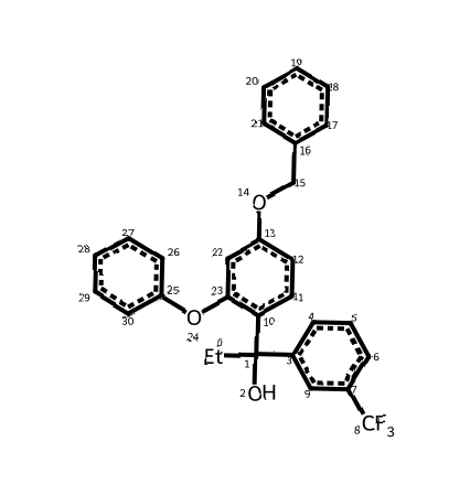 CCC(O)(c1cccc(C(F)(F)F)c1)c1ccc(OCc2ccccc2)cc1Oc1ccccc1